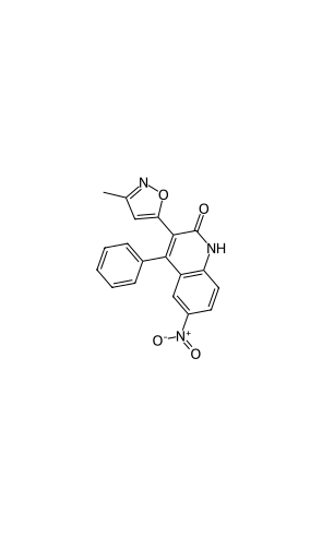 Cc1cc(-c2c(-c3ccccc3)c3cc([N+](=O)[O-])ccc3[nH]c2=O)on1